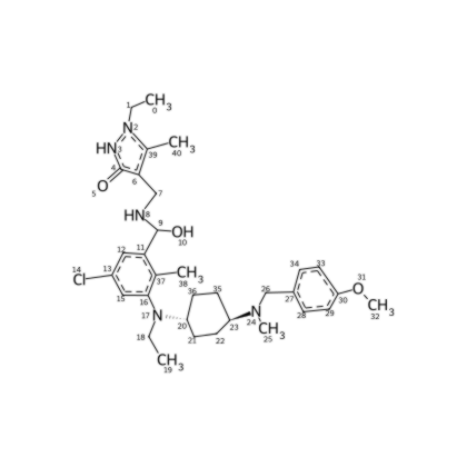 CCn1[nH]c(=O)c(CNC(O)c2cc(Cl)cc(N(CC)[C@H]3CC[C@H](N(C)Cc4ccc(OC)cc4)CC3)c2C)c1C